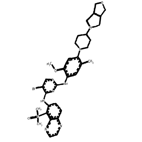 COc1cc(N2CCC(N3CC4COCC4C3)CC2)c(C)cc1Nc1ncc(Br)c(Nc2ccc3nccnc3c2P(C)(C)=O)n1